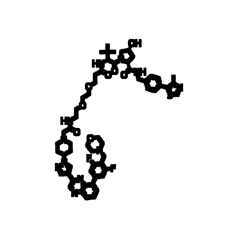 Cc1ncsc1-c1ccc(CNC(=O)[C@@H]2C[C@@H](O)CN2C(=O)[C@@H](NC(=O)CCOCCOCCNC(=O)CN2CCC(n3cc(-c4cnc5cccc(-c6cc(F)c(CN7CCOCC7)c(F)c6)c5n4)cn3)CC2)C(C)(C)C)cc1